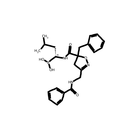 CC(C)C[C@H](NC(=O)C1(Cc2ccccc2)CC(CNC(=O)c2ccccc2)=NO1)B(O)O